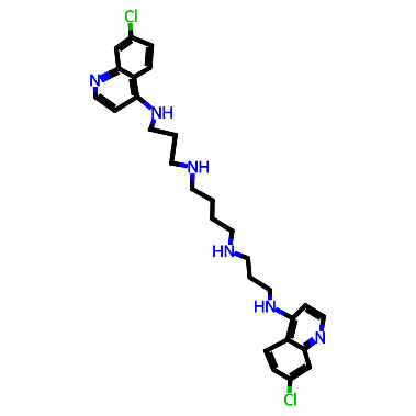 Clc1ccc2c(NCCCNCCCCNCCCNc3ccnc4cc(Cl)ccc34)ccnc2c1